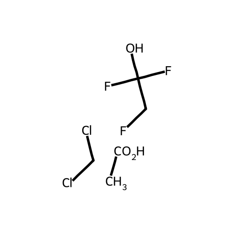 CC(=O)O.ClCCl.OC(F)(F)CF